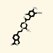 COc1cc(CC(=O)N2CCN(CCc3ccc4c(c3)COC4=O)C(C(F)(F)F)C2)c(F)cc1C